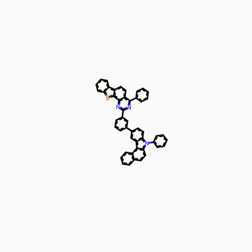 c1ccc(-c2nc(-c3cccc(-c4ccc5c(c4)c4c6ccccc6ccc4n5-c4ccccc4)c3)nc3c2ccc2c4ccccc4sc23)cc1